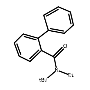 CCN(C(=O)c1ccccc1-c1ccccc1)C(C)(C)C